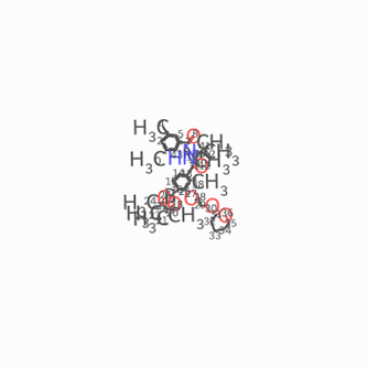 Cc1cc(C)cc(C(=O)N(NC(=O)c2ccc(B3OC(C)(C)C(C)(C)O3)c(OCCOC3CCCCO3)c2C)C(C)(C)C)c1